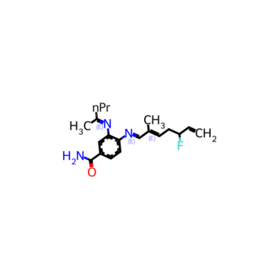 C=CC(F)C/C=C(C)/C=N/c1ccc(C(N)=O)cc1/N=C(\C)CCC